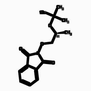 C[C@H](CON1C(=O)c2ccccc2C1=O)O[Si](C)(C)C(C)(C)C